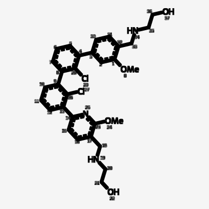 COc1cc(-c2cccc(-c3cccc(-c4ccc(CNCCO)c(OC)n4)c3Cl)c2Cl)ccc1CNCCO